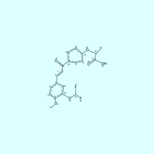 COc1ccc(/C=C/C(=O)c2ccc(OC(C)C(=O)O)cc2)cc1OC(F)F